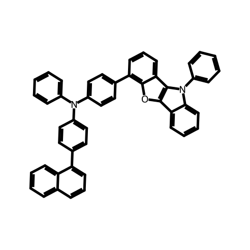 c1ccc(N(c2ccc(-c3cccc4ccccc34)cc2)c2ccc(-c3cccc4c3oc3c5ccccc5n(-c5ccccc5)c43)cc2)cc1